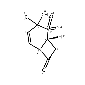 CC1(C)C=CN2C(=O)C[C@H]2S1(=O)=O